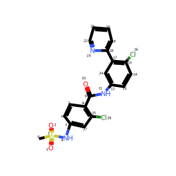 CS(=O)(=O)Nc1ccc(C(=O)Nc2ccc(Cl)c(-c3ccccn3)c2)c(Cl)c1